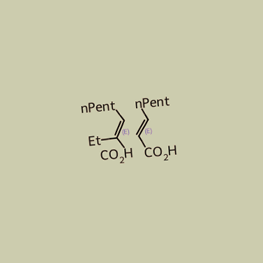 CCCCC/C=C(\CC)C(=O)O.CCCCC/C=C/C(=O)O